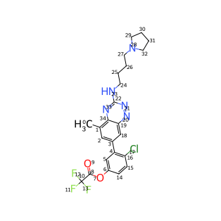 Cc1cc(-c2cc(OC(=O)C(F)(F)F)ccc2Cl)cc2nnc(NCCCCN3CCCC3)nc12